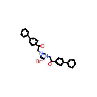 O=C(Cn1cc[n+](CC(=O)c2ccc(-c3ccccc3)cc2)c1)c1ccc(-c2ccccc2)cc1.[Br-]